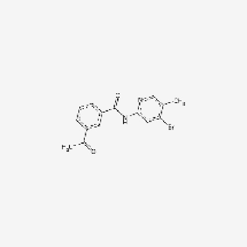 CC(=O)c1cccc(C(=O)Nc2cc(Br)c(C)cn2)c1